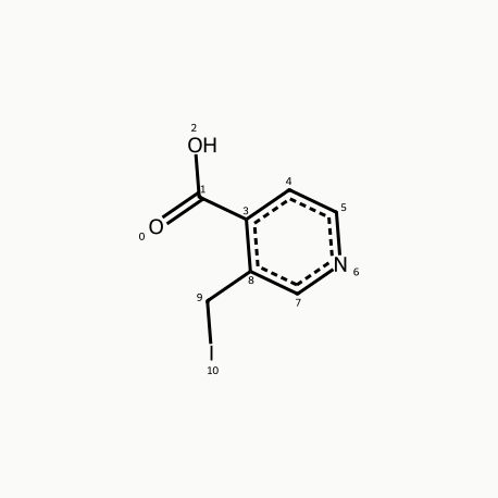 O=C(O)c1ccncc1CI